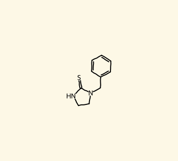 S=C1NCCN1Cc1ccccc1